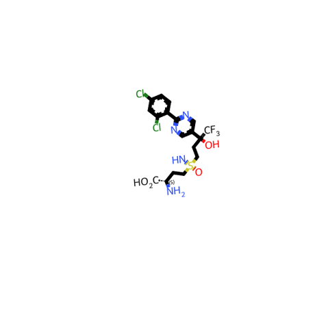 N=S(=O)(CC[C@H](N)C(=O)O)CCC(O)(c1cnc(-c2ccc(Cl)cc2Cl)nc1)C(F)(F)F